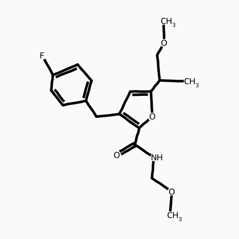 COCNC(=O)c1oc(C(C)COC)cc1Cc1ccc(F)cc1